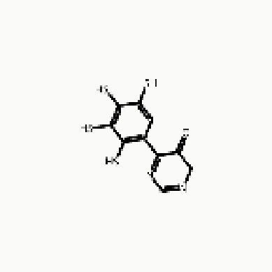 O=C1CN=[C]N=C1c1cc(S)c(S)c(S)c1S